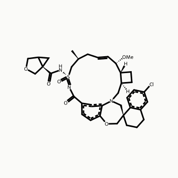 CO[C@H]1/C=C/C[C@H](C)C[S@@](=O)(NC(=O)[C@@]23COCC2C3)=NC(=O)c2ccc3c(c2)N(C[C@@H]2CC[C@H]21)C[C@@]1(CCCc2cc(Cl)ccc21)CO3